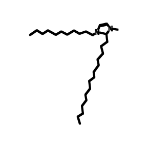 CCCCCCCCCCCCCCCC1N(C)C=CN1CCCCCCCCCCC